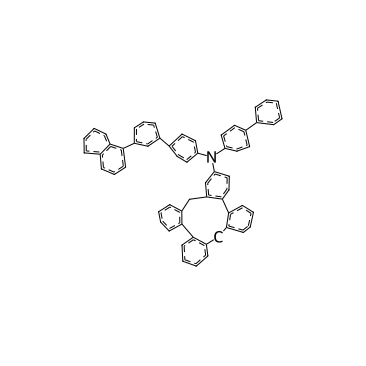 c1ccc(-c2ccc(N(c3ccc(-c4cccc(-c5cccc6ccccc56)c4)cc3)c3ccc4c(c3)Cc3ccccc3-c3ccccc3Cc3ccccc3-4)cc2)cc1